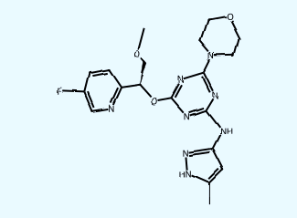 COC[C@@H](Oc1nc(Nc2cc(C)[nH]n2)nc(N2CCOCC2)n1)c1ccc(F)cn1